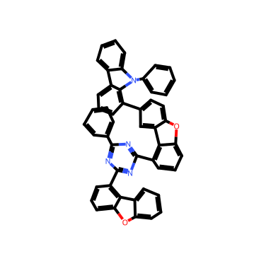 c1ccc(-c2nc(-c3cccc4oc5ccccc5c34)nc(-c3cccc4oc5ccc(-c6cccc7c8ccccc8n(-c8ccccc8)c67)cc5c34)n2)cc1